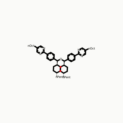 CCCCCCCCc1cnc(-c2ccc(C(OC(c3ccc(-c4ncc(CCCCCCCC)cn4)cc3)[C@H]3CC[C@H](CCCCC)CC3)[C@H]3CC[C@H](CCCCC)CC3)cc2)nc1